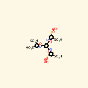 O=S(=O)(O)c1cc(SOOO)c2oc(-c3cc(-c4nc5cc(SOOO)cc(S(=O)(=O)O)c5o4)cc(-c4nc5cc(S(=O)(=O)O)cc(S(=O)(=O)O)c5o4)c3)nc2c1